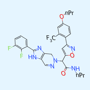 CCCNC(=O)C(c1cc(-c2ccc(OCCC)cc2C(F)(F)F)no1)N1Cc2nc(-c3cccc(F)c3F)[nH]c2C=N1